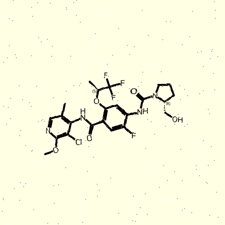 COc1ncc(C)c(NC(=O)c2cc(F)c(NC(=O)N3CCC[C@@H]3CO)cc2O[C@@H](C)C(F)(F)F)c1Cl